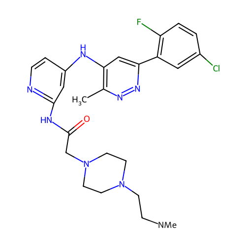 CNCCN1CCN(CC(=O)Nc2cc(Nc3cc(-c4cc(Cl)ccc4F)nnc3C)ccn2)CC1